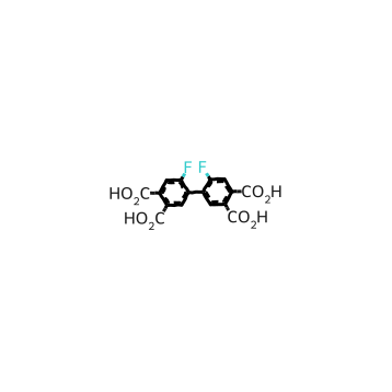 O=C(O)c1cc(F)c(-c2cc(C(=O)O)c(C(=O)O)cc2F)cc1C(=O)O